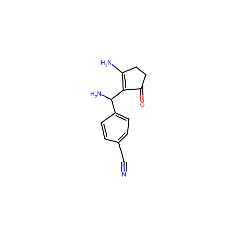 N#Cc1ccc(C(N)C2=C(N)CCC2=O)cc1